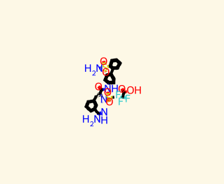 CN([C@@H](Cc1cccc(C(=N)N)c1)C(=O)Nc1ccc(-c2ccccc2S(N)(=O)=O)cc1)S(C)(=O)=O.O=C(O)C(F)(F)F